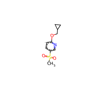 CS(=O)(=O)c1c[c]c(OCC2CC2)nc1